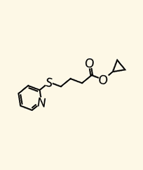 O=C(CCCSc1ccccn1)OC1CC1